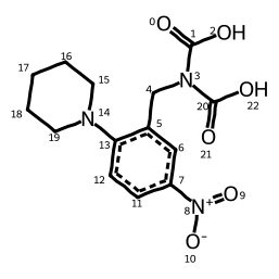 O=C(O)N(Cc1cc([N+](=O)[O-])ccc1N1CCCCC1)C(=O)O